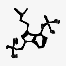 CN(C)CCc1cn(CP(=O)(O)O)c2cccc(OP(=O)(O)O)c12